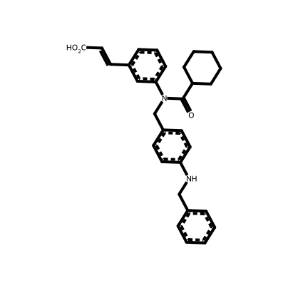 O=C(O)C=Cc1cccc(N(Cc2ccc(NCc3ccccc3)cc2)C(=O)C2CCCCC2)c1